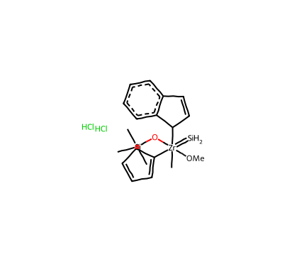 C[O][Zr]([CH3])(=[SiH2])([O][Si](C)(C)C)([C]1=CC=CC1)[CH]1C=Cc2ccccc21.Cl.Cl